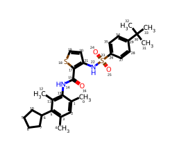 Cc1cc(C)c(C2CCCC2)c(C)c1NC(=O)c1sccc1NS(=O)(=O)c1ccc(C(C)(C)C)cc1